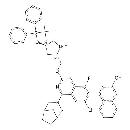 CN1C[C@H](O[Si](c2ccccc2)(c2ccccc2)C(C)(C)C)C[C@H]1COc1nc(N2CC3CCC(C3)C2)c2cc(Cl)c(-c3cc(O)cc4ccccc34)c(F)c2n1